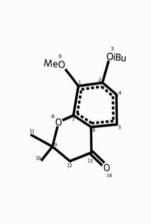 COc1c(OCC(C)C)ccc2c1OC(C)(C)CC2=O